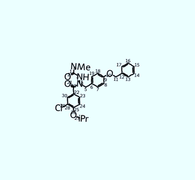 CNC(=O)NN(Cc1ccc(OCc2ccccc2)cc1)C(=O)c1ccc(OC(C)C)c(Cl)c1